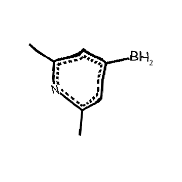 Bc1cc(C)nc(C)c1